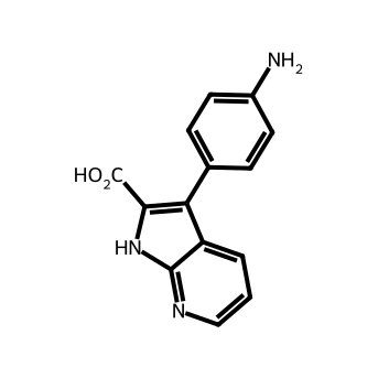 Nc1ccc(-c2c(C(=O)O)[nH]c3ncccc23)cc1